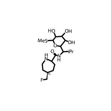 CSC1OC(C(NC(=O)C2CC[C@@H](CF)CCN2)C(C)C)C(O)C(O)C1O